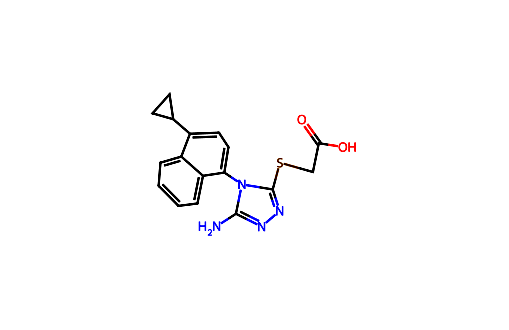 Nc1nnc(SCC(=O)O)n1-c1ccc(C2CC2)c2ccccc12